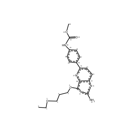 CCOCCCOc1nc(N)nc2ccc(-c3ccc(NC(=O)OC)cc3)nc12